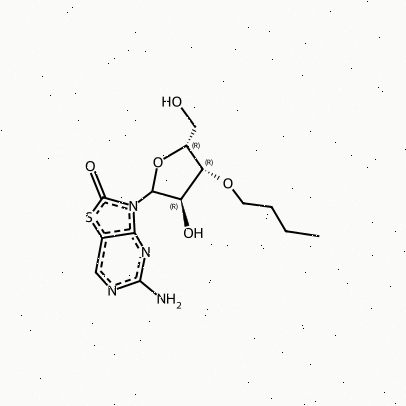 CCCCO[C@H]1[C@@H](CO)OC(n2c(=O)sc3cnc(N)nc32)[C@@H]1O